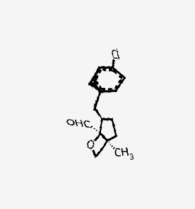 C[C@@]12CC[C@H](Cc3ccc(Cl)cc3)[C@]1(C=O)OC2